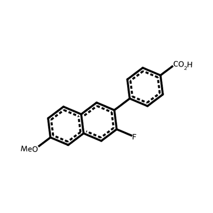 COc1ccc2cc(-c3ccc(C(=O)O)cc3)c(F)cc2c1